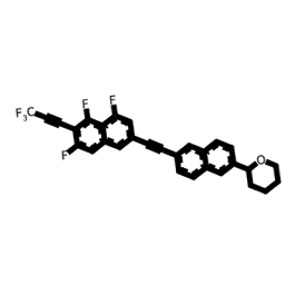 Fc1cc2cc(C#Cc3ccc4cc(C5CCCCO5)ccc4c3)cc(F)c2c(F)c1C#CC(F)(F)F